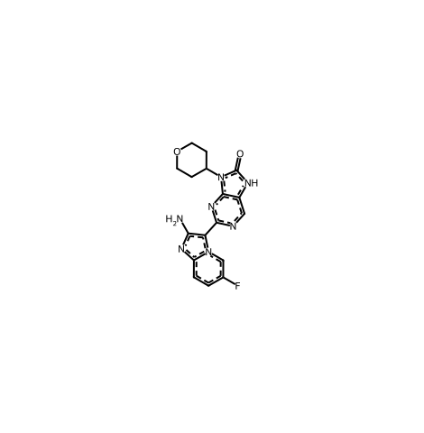 Nc1nc2ccc(F)cn2c1-c1ncc2[nH]c(=O)n(C3CCOCC3)c2n1